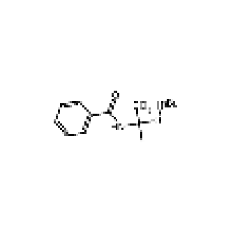 CCCCOC(C)(NC(=O)c1ccccc1)C(=O)O